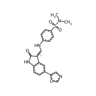 CN(C)S(=O)(=O)c1ccc(N/C=C2\C(=O)Nc3ccc(-c4cnco4)cc32)cc1